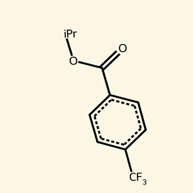 CC(C)OC(=O)c1ccc(C(F)(F)F)cc1